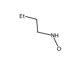 CCC[CH]N[O]